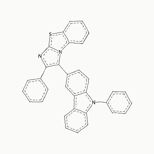 c1ccc(-c2nc3sc4ccccc4n3c2-c2ccc3c(c2)c2ccccc2n3-c2ccccc2)cc1